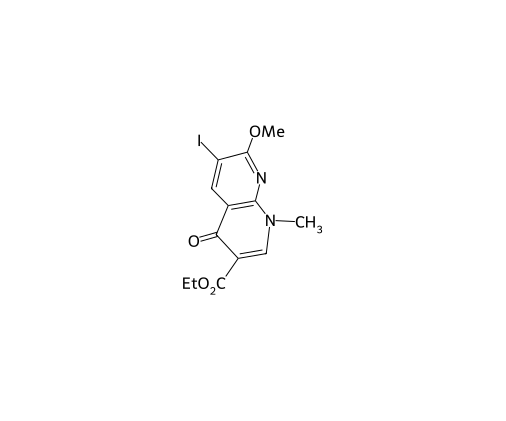 CCOC(=O)c1cn(C)c2nc(OC)c(I)cc2c1=O